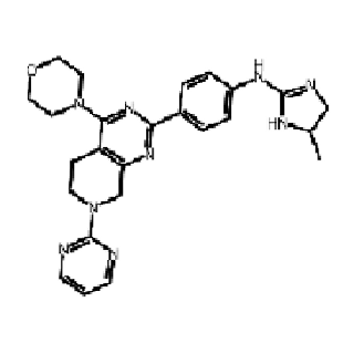 CC1CN=C(Nc2ccc(-c3nc4c(c(N5CCOCC5)n3)CCN(c3ncccn3)C4)cc2)N1